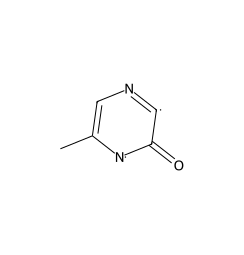 CC1=CN=[C]C(=O)[N]1